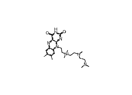 Cc1cc2nc3c(=O)[nH]c(=O)nc-3n(CC[N+](C)(C)CCN(C)CCN(C)C)c2cc1C